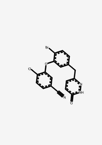 N#Cc1ccc(Cl)c(Oc2cc(Cc3ccc(=O)[nH]n3)ccc2Br)c1